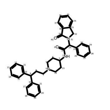 O=C(NC1CCN(CCC(c2ccccc2)c2ccccc2)CC1)C(c1ccccc1)N1Cc2ccccc2C1=O